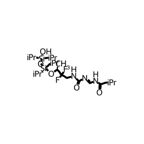 CC(C)C(=O)N/C=N/C(=O)NCC(F)(F)[C@H](C)O[Si](O[Si](O)(C(C)C)C(C)C)(C(C)C)C(C)C